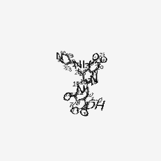 CC[C@@]1(O)C(=O)OCc2c1cc1n(c2=O)Cc2c-1nc1cc3c(cc1c2CNc1ccncc1)OCO3